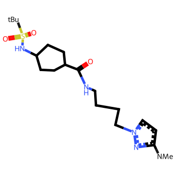 CNc1ccn(CCCCNC(=O)C2CCC(NS(=O)(=O)C(C)(C)C)CC2)n1